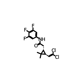 CC1(C)[C@H](C=C(Cl)Cl)[C@H]1CC(=O)Nc1cc(F)c(F)c(F)c1